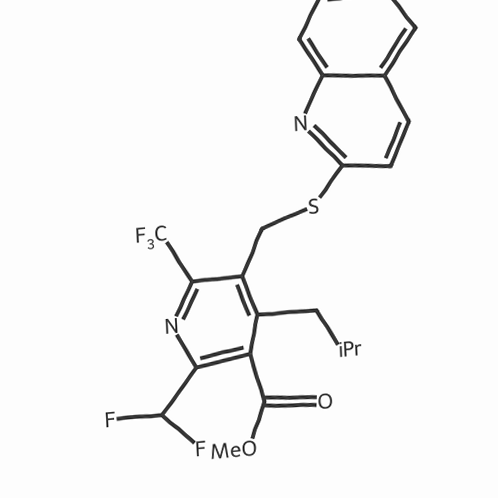 COC(=O)c1c(C(F)F)nc(C(F)(F)F)c(CSc2ccc3ccccc3n2)c1CC(C)C